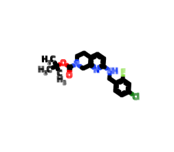 CC(C)(C)OC(=O)N1CCc2ccc(NCc3ccc(Cl)cc3F)nc2C1